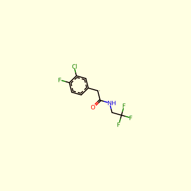 O=C([CH]c1ccc(F)c(Cl)c1)NCC(F)(F)F